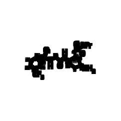 CC(C)S(=O)(=O)C[C@H]1C[C@H](N)CC[C@@H]1NC(=O)CNC(=O)c1cccc(C(F)(F)F)c1